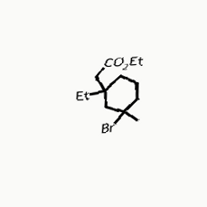 CCOC(=O)CC1(CC)CCCC(C)(Br)C1